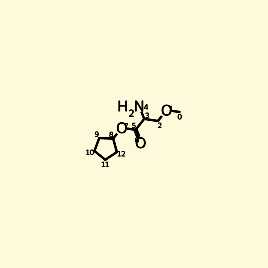 COCC(N)C(=O)OC1CCCC1